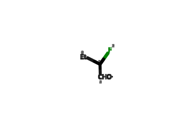 CCC(F)[C]=O